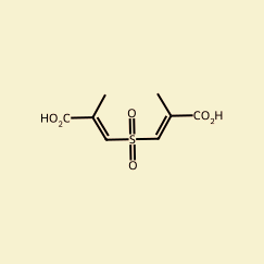 CC(=CS(=O)(=O)C=C(C)C(=O)O)C(=O)O